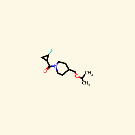 CC(C)OCC1CCN(C(=O)C2C[C@H]2F)CC1